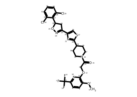 COc1ccc(C(F)(F)F)nc1OCC(=O)N1CCC(c2nc(C3=NOC(c4c(Cl)cccc4Cl)C3)cs2)CC1